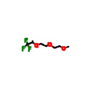 COCCOCCO[CH]C(F)(F)F